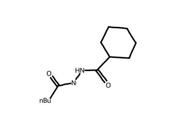 CCCCC(=O)[N]NC(=O)C1CCCCC1